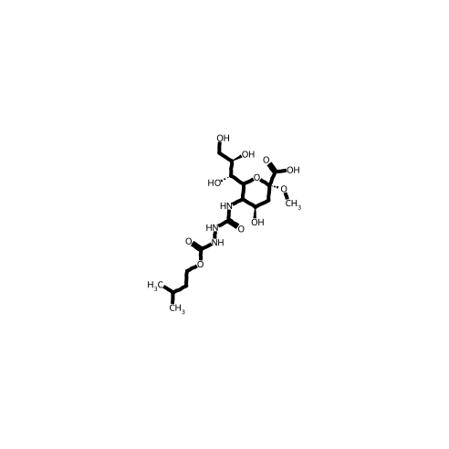 CO[C@]1(C(=O)O)C[C@@H](O)C(NC(=O)NNC(=O)OCCC(C)C)C([C@H](O)[C@H](O)CO)O1